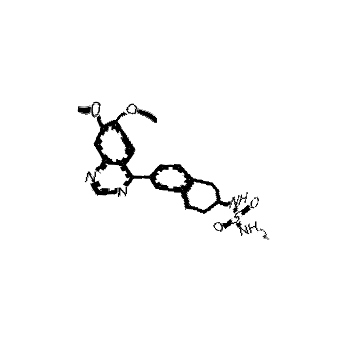 COc1cc2ncnc(-c3ccc4c(c3)CCC(NS(N)(=O)=O)C4)c2cc1OC